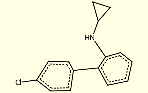 Clc1ccc(-c2ccccc2NC2CC2)cc1